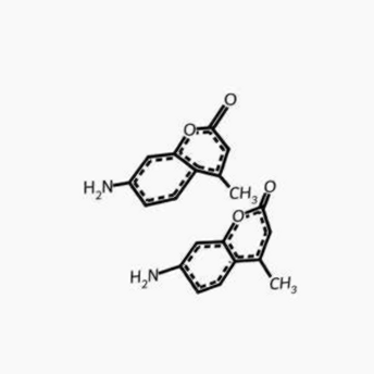 Cc1cc(=O)oc2cc(N)ccc12.Cc1cc(=O)oc2cc(N)ccc12